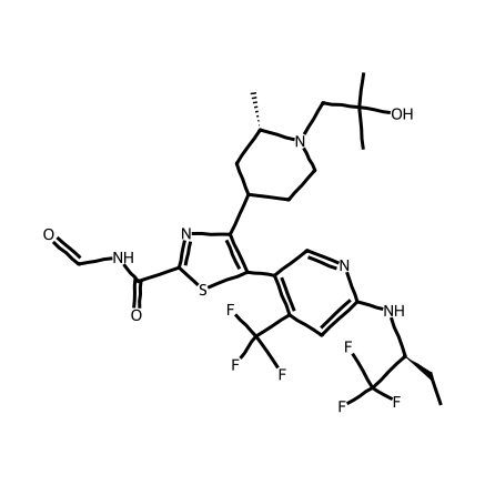 CC[C@H](Nc1cc(C(F)(F)F)c(-c2sc(C(=O)NC=O)nc2C2CCN(CC(C)(C)O)[C@@H](C)C2)cn1)C(F)(F)F